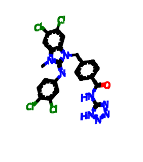 Cn1c(=Nc2ccc(Cl)c(Cl)c2)n(Cc2ccc(C(=O)Nc3nnn[nH]3)cc2)c2cc(Cl)c(Cl)cc21